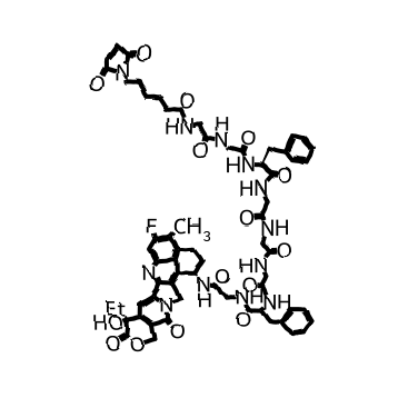 CC[C@@]1(O)C(=O)OCc2c1cc1n(c2=O)Cc2c-1nc1cc(F)c(C)c3c1c2[C@@H](NC(=O)CNC(=O)C(Cc1ccccc1)NC(=O)CNC(=O)CNC(=O)CNC(=O)[C@H](Cc1ccccc1)NC(=O)CNC(=O)CNC(=O)CCCCCN1C(=O)C=CC1=O)CC3